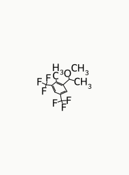 COC(C)c1cc(C(F)(F)F)cc(C(F)(F)F)c1C